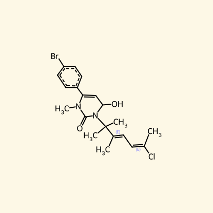 C/C(Cl)=C\C=C(/C)C(C)(C)N1C(=O)N(C)C(c2ccc(Br)cc2)=CC1O